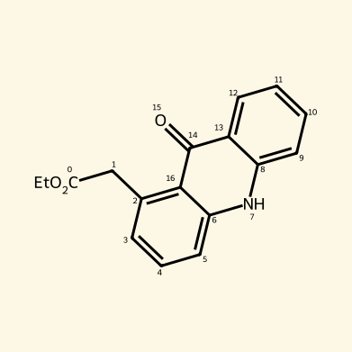 CCOC(=O)Cc1cccc2[nH]c3ccccc3c(=O)c12